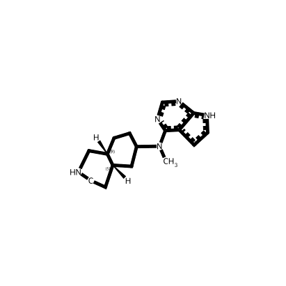 CN(c1ncnc2[nH]ccc12)C1CC[C@H]2CNCC[C@H]2C1